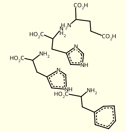 NC(CCC(=O)O)C(=O)O.NC(Cc1c[nH]cn1)C(=O)O.NC(Cc1c[nH]cn1)C(=O)O.NC(Cc1ccccc1)C(=O)O